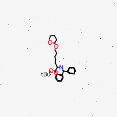 CC(C)(C)OC(=O)C(CCCCCOC1CCCCO1)N=C(c1ccccc1)c1ccccc1